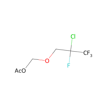 CC(=O)OCOCC(F)(Cl)C(F)(F)F